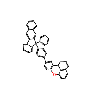 C1=Cc2cccc3c2C(C1)c1cc(-c2ccc(C4(c5ccccc5)c5ccccc5-c5cc6ccccc6cc54)cc2)ccc1O3